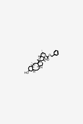 CC1=C2C[C@@H](C)[C@@]3(C)CC[C@H](O)C[C@H]3CCC[C@@H]2CC[C@]12O[C@@H]1C[C@H](C)CN(C(=O)OCc3ccccc3)[C@H]1[C@H]2C